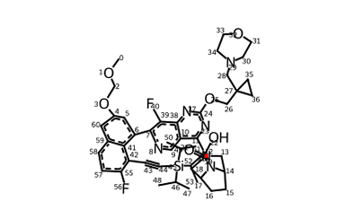 COCOc1cc(-c2ncc3c(N4CC5CCC(C4)N5C(=O)O)nc(OCC4(CN5CCOCC5)CC4)nc3c2F)c2c(C#C[Si](C(C)C)(C(C)C)C(C)C)c(F)ccc2c1